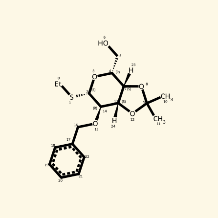 CCS[C@@H]1O[C@H](CO)[C@@H]2OC(C)(C)O[C@@H]2[C@H]1OCc1ccccc1